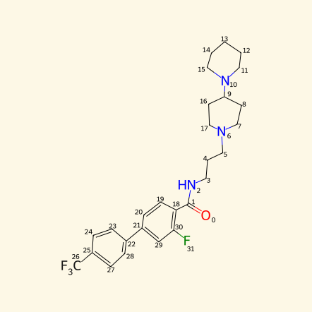 O=C(NCCCN1CCC(N2CCCCC2)CC1)c1ccc(-c2ccc(C(F)(F)F)cc2)cc1F